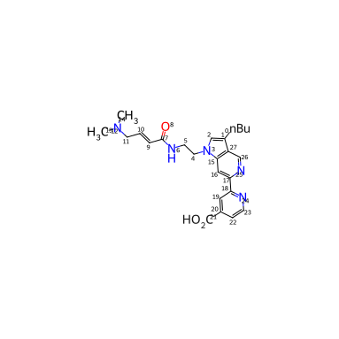 CCCCc1cn(CCNC(=O)C=CCN(C)C)c2cc(-c3cc(C(=O)O)ccn3)ncc12